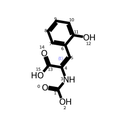 O=C(O)N/C(=C/c1ccccc1O)C(=O)O